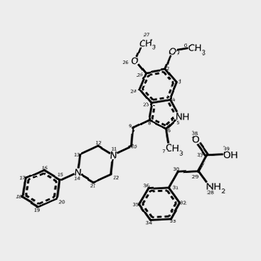 COc1cc2[nH]c(C)c(CCN3CCN(c4ccccc4)CC3)c2cc1OC.NC(Cc1ccccc1)C(=O)O